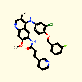 CCOc1cc2ncc(C#N)c(Nc3ccc(OCc4cccc(F)c4)c(Cl)c3)c2cc1NC(=O)/C=C/c1cccnc1